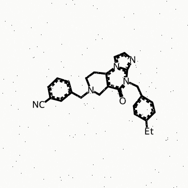 CCc1ccc(Cn2c(=O)c3c(n4ccnc24)CCN(Cc2cccc(C#N)c2)C3)cc1